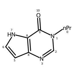 CCCn1cnc2cc[nH]c2c1=O